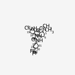 CC(C)(C)c1ccccc1Oc1nc(Cl)ccc1NC(=O)Nc1ccc(C(F)(F)F)cc1